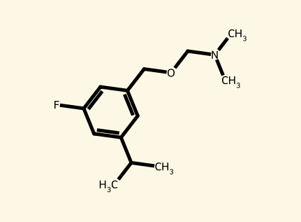 CC(C)c1cc(F)cc(COCN(C)C)c1